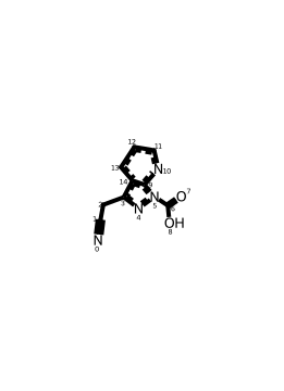 N#CCc1nn(C(=O)O)c2ncccc12